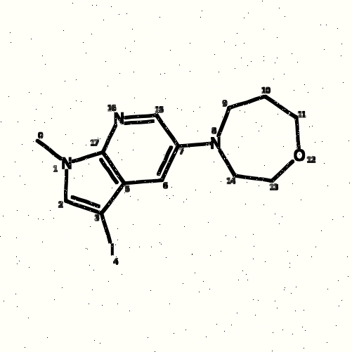 Cn1cc(I)c2cc(N3CCCOCC3)cnc21